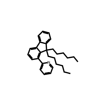 CCCCCCC1(CCCCCC)c2ccccc2-c2cccc(-c3ccccn3)c21